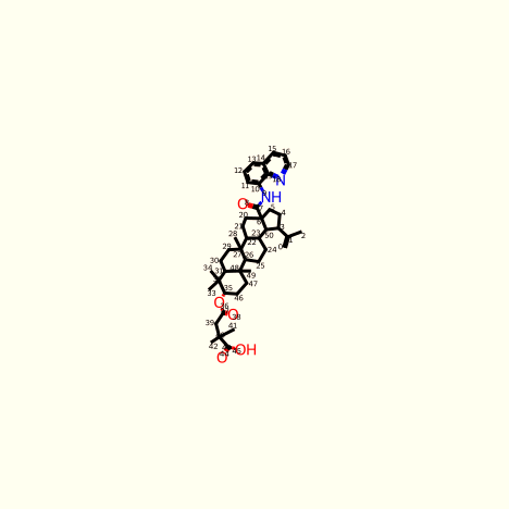 C=C(C)C1CCC2(C(=O)Nc3cccc4cccnc34)CCC3C(CCC4C3(C)CCC3C(C)(C)C(OC(=O)CC(C)(C)C(=O)O)CCC34C)C12